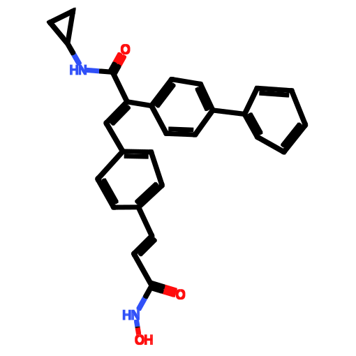 O=C(/C=C/c1ccc(/C=C(/C(=O)NC2CC2)c2ccc(-c3ccccc3)cc2)cc1)NO